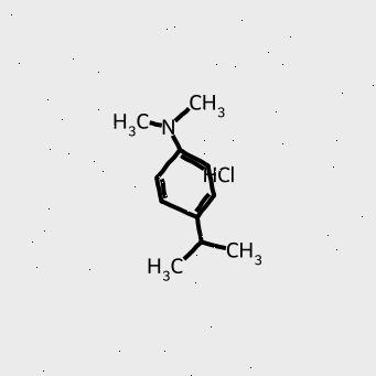 CC(C)c1ccc(N(C)C)cc1.Cl